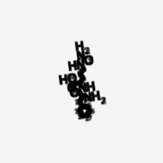 NC(=O)NCCCC(NC(=O)C(N)Cc1ccccc1)C(=O)O